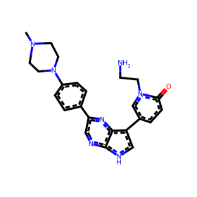 CN1CCN(c2ccc(-c3cnc4[nH]cc(-c5ccc(=O)n(CCN)c5)c4n3)cc2)CC1